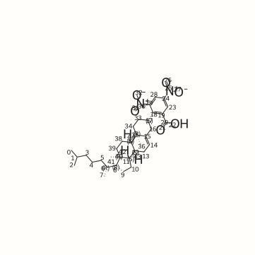 CC(C)CCC[C@@H](C)[C@H]1CC[C@H]2[C@@H]3CC=C4C[C@@H](c5c(C(=O)O)cc([N+](=O)[O-])cc5[N+](=O)[O-])CC[C@]4(C)[C@H]3CC[C@]12C